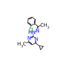 CC(=NNc1nc(C)cc(C2CC2)n1)c1ccccc1Cl